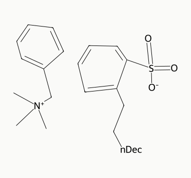 CCCCCCCCCCCCc1ccccc1S(=O)(=O)[O-].C[N+](C)(C)Cc1ccccc1